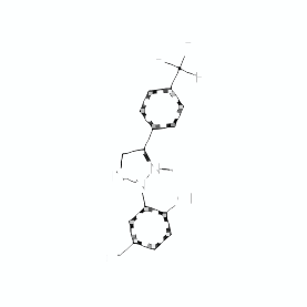 [O-][N+]1=C(c2ccc(C(F)(F)F)cc2)CNN1c1cc(Cl)ccc1O